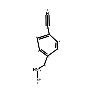 N#Cc1ccc(CNS)cc1